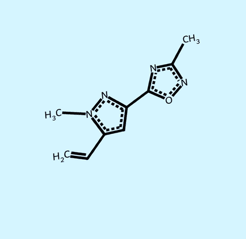 C=Cc1cc(-c2nc(C)no2)nn1C